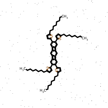 CCCCCCCCc1ccc(-c2cc3c(cc2-c2ccc(CCCCCCCC)s2)c2cc4c5cc(-c6ccc(CCCCCCCC)s6)c(-c6ccc(CCCCCCCC)s6)cc5c4cc32)s1